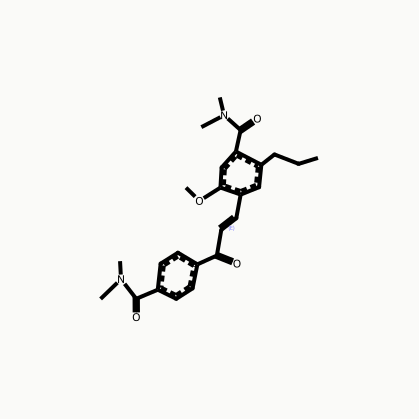 CCCc1cc(/C=C/C(=O)c2ccc(C(=O)N(C)C)cc2)c(OC)cc1C(=O)N(C)C